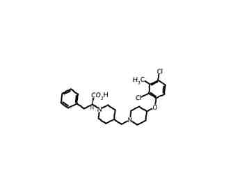 Cc1c(Cl)ccc(OC2CCN(CC3CCN([C@@H](Cc4ccccc4)C(=O)O)CC3)CC2)c1Cl